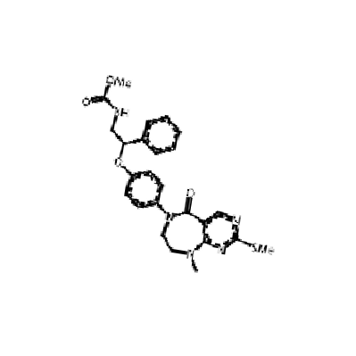 COC(=O)NCC(Oc1ccc(N2CCN(C)c3nc(SC)ncc3C2=O)cc1)c1ccccc1